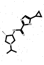 CC(C)N1C[C@H](NC(=O)c2ncc(C3CC3)[nH]2)[C@@H](C)C1